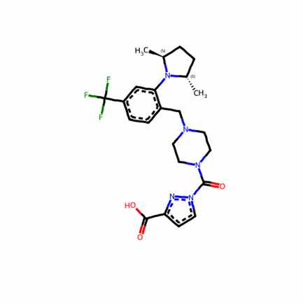 C[C@H]1CC[C@H](C)N1c1cc(C(F)(F)F)ccc1CN1CCN(C(=O)n2ccc(C(=O)O)n2)CC1